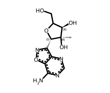 C[C@@]1(O)[C@H](O)C(CO)O[C@H]1c1noc2c(N)ncnc12